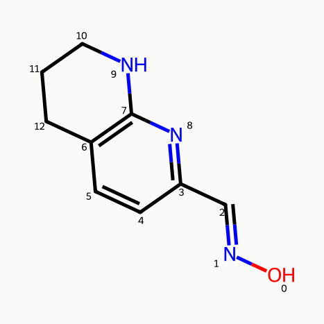 O/N=C/c1ccc2c(n1)NCCC2